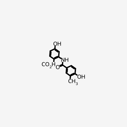 Cc1cc(C(=O)Nc2cc(O)ccc2C(=O)O)ccc1O